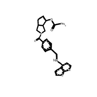 NC(=O)OC1CCC2CN(C(=O)c3ccc(CNc4ccnc5sccc45)cc3)CC21